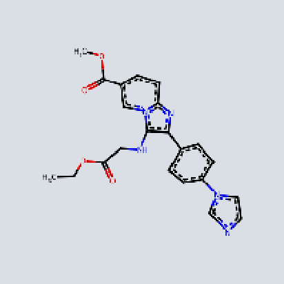 CCOC(=O)CNc1c(-c2ccc(-n3ccnc3)cc2)nc2ccc(C(=O)OC)cn12